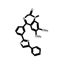 COc1cc2c(cc1OC)N(C)C(=O)CN=C2c1cccc(-c2nc(-c3ccccc3)cs2)c1